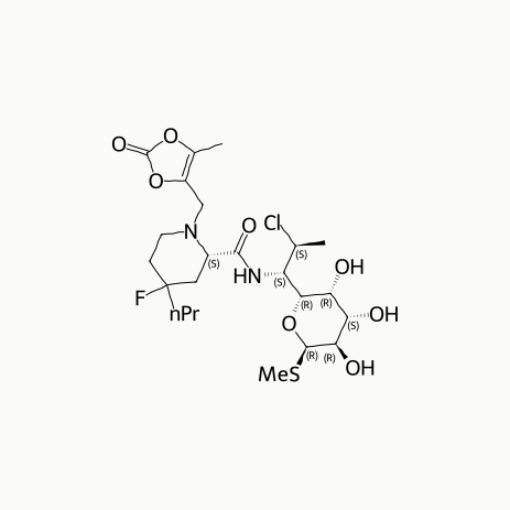 CCCC1(F)CCN(Cc2oc(=O)oc2C)[C@H](C(=O)N[C@@H]([C@H]2O[C@H](SC)[C@H](O)[C@@H](O)[C@H]2O)[C@H](C)Cl)C1